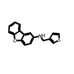 c1ccc2c(c1)oc1ccc(NCc3ccsc3)cc12